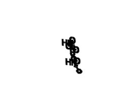 O=C1CCC(N2Cc3ccc(COC(=O)NC4CC(c5ccccc5)C4)cc3C2=O)C(=O)N1